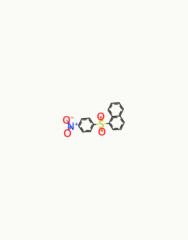 O=[N+]([O-])c1ccc(S(=O)(=O)c2cccc3ccccc23)cc1